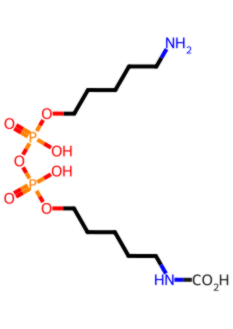 NCCCCCOP(=O)(O)OP(=O)(O)OCCCCCNC(=O)O